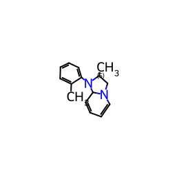 Cc1ccccc1N1C2C=CC=CN2C[C@@H]1C